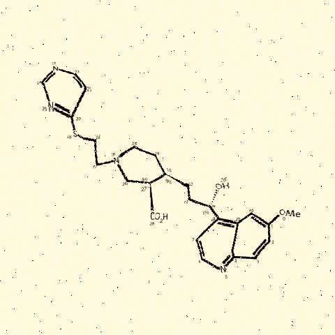 COc1ccc2nccc([C@@H](O)CC[C@@H]3CCN(CCSc4ccncn4)C[C@@H]3C(=O)O)c2c1